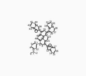 CC(C)c1cccc(-c2cc(-c3cc4ccccc4o3)c3ccc4c(-c5cccc6ccccc56)cc(-c5cc6ccccc6o5)c5ccc2c3c54)c1